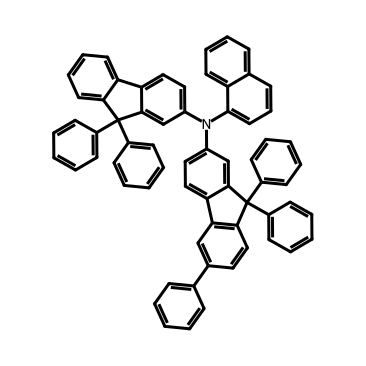 c1ccc(-c2ccc3c(c2)-c2ccc(N(c4ccc5c(c4)C(c4ccccc4)(c4ccccc4)c4ccccc4-5)c4cccc5ccccc45)cc2C3(c2ccccc2)c2ccccc2)cc1